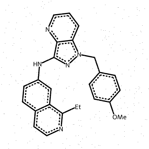 CCc1nccc2ccc(Nc3nn(Cc4ccc(OC)cc4)c4cccnc34)cc12